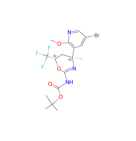 COc1ncc(Br)cc1[C@]1(C)C[C@@H](C(F)(F)F)OC(NC(=O)OC(C)(C)C)=N1